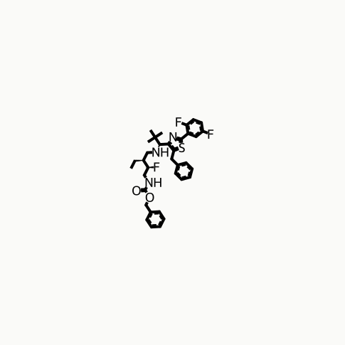 CC[C@@H](CN[C@@H](c1nc(-c2cc(F)ccc2F)sc1Cc1ccccc1)C(C)(C)C)[C@@H](F)CNC(=O)OCc1ccccc1